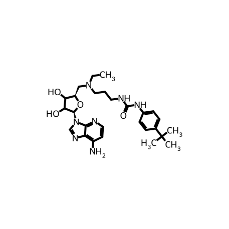 CCN(CCCNC(=O)Nc1ccc(C(C)(C)C)cc1)C[C@H]1O[C@@H](n2cnc3c(N)ccnc32)C(O)C1O